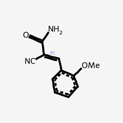 COc1ccccc1/C=C(\C#N)C(N)=O